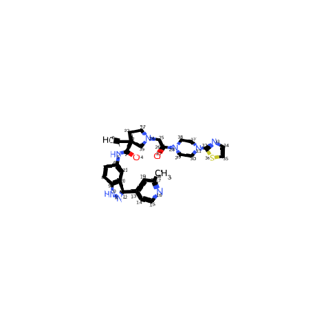 C#CC1(C(=O)Nc2ccc3[nH]nc(-c4ccnc(C)c4)c3c2)CCN(CC(=O)N2CCN(c3nccs3)CC2)C1